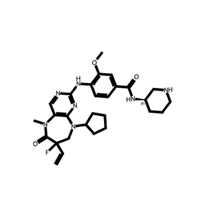 C=CC1(F)CN(C2CCCC2)c2nc(Nc3ccc(C(=O)N[C@@H]4CCCNC4)cc3OC)ncc2N(C)C1=O